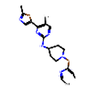 C/C=C(\N=C/CCC)SN1CCC(Nc2ncc(C(F)(F)F)c(-c3cnc(C)s3)n2)CC1